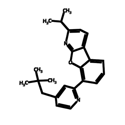 CC(C)c1ccc2c(n1)oc1c(-c3cc(CC(C)(C)C)ccn3)cccc12